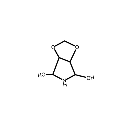 OC1NC(O)C2OCOC12